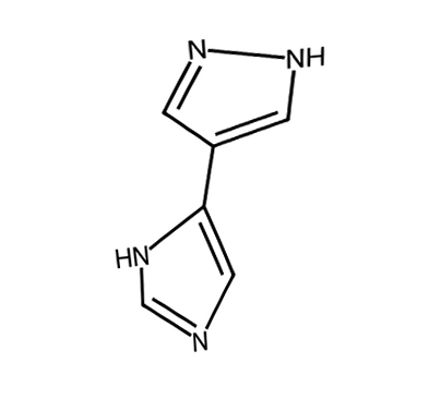 c1ncc(-c2cn[nH]c2)[nH]1